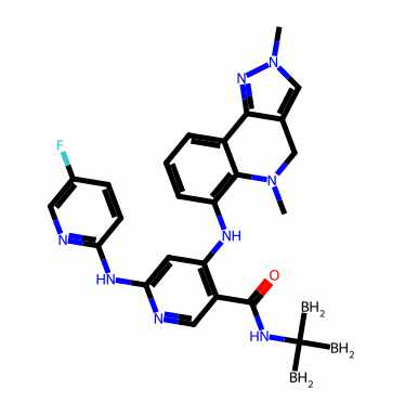 BC(B)(B)NC(=O)c1cnc(Nc2ccc(F)cn2)cc1Nc1cccc2c1N(C)Cc1cn(C)nc1-2